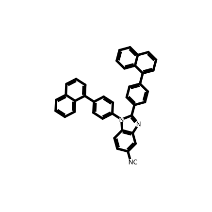 [C-]#[N+]c1ccc2c(c1)nc(-c1ccc(-c3cccc4ccccc34)cc1)n2-c1ccc(-c2cccc3ccccc23)cc1